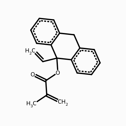 C=CC1(OC(=O)C(=C)C)c2ccccc2Cc2ccccc21